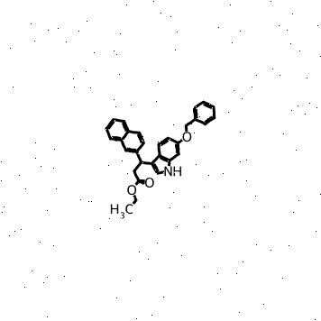 CCOC(=O)CC(c1ccc2ccccc2c1)c1c[nH]c2cc(OCc3ccccc3)ccc12